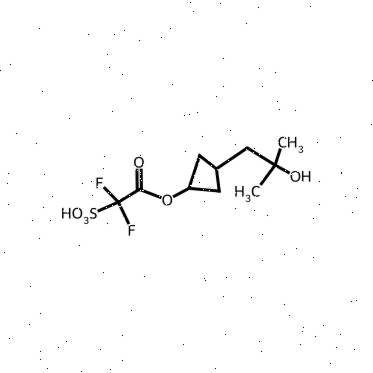 CC(C)(O)CC1CC(OC(=O)C(F)(F)S(=O)(=O)O)C1